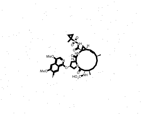 COc1cc2c(OC)cnc(O[C@@H]3C[C@H]4C(=O)N[C@]5(C(=O)NS(=O)(=O)C6(C)CC6)C[C@H]5/C=C\[C@@H](C)CCC[C@@H](C)[C@H](NC(=O)O)C(=O)N4C3)c2cc1F